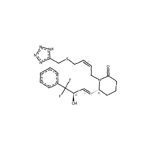 O=C1CCC[C@H](/C=C/[C@@H](O)C(F)(F)c2ccccc2)N1C/C=C\CSCc1nnn[nH]1